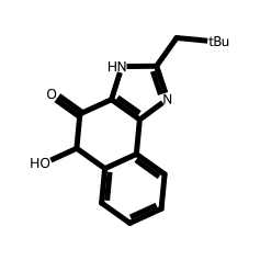 CC(C)(C)Cc1nc2c([nH]1)C(=O)C(O)c1ccccc1-2